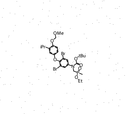 CCOP(C)(=O)CN(C(=O)OC(C)(C)C)c1cc(Br)c(Oc2ccc(OCOC)c(C(C)C)c2)c(Br)c1